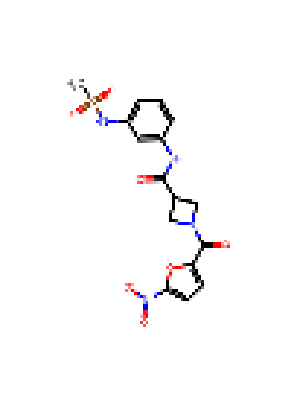 CS(=O)(=O)Nc1cccc(NC(=O)C2CN(C(=O)c3ccc([N+](=O)[O-])o3)C2)c1